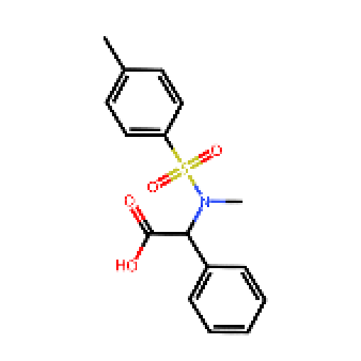 Cc1ccc(S(=O)(=O)N(C)C(C(=O)O)c2ccccc2)cc1